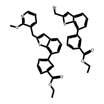 CCOC(=O)c1cccc(-c2cccc3cc(CBr)sc23)c1.CCOC(=O)c1cccc(-c2cccc3cc(Cc4cccnc4OC)sc23)c1